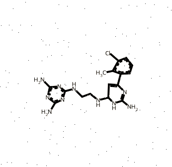 Cc1c(Cl)cccc1C1=CC(NCCNc2nc(N)nc(N)n2)NC(N)=N1